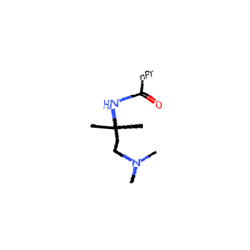 CCCC(=O)NC(C)(C)CN(C)C